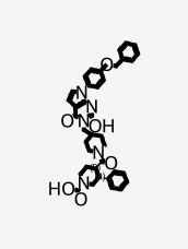 O=C(O)N1CC[C@@H](C(=O)N2CCC(O)(Cn3cnc4c(ccn4-c4ccc(OCc5ccccc5)cc4)c3=O)CC2)[C@H](c2ccccc2)C1